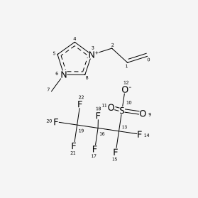 C=CC[n+]1ccn(C)c1.O=S(=O)([O-])C(F)(F)C(F)(F)C(F)(F)F